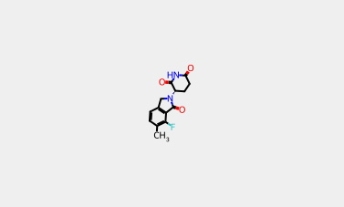 Cc1ccc2c(c1F)C(=O)N([C@H]1CCC(=O)NC1=O)C2